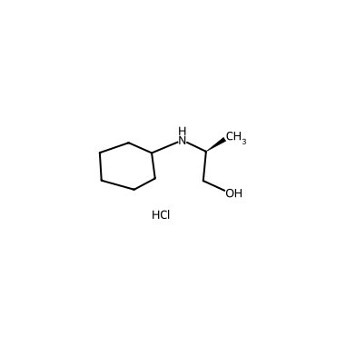 C[C@@H](CO)NC1CCCCC1.Cl